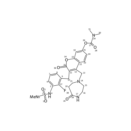 CNS(=O)(=O)Nc1cccc(Cc2c(CN3CCNC(=O)CC3)c3ccc(OC(=O)N(C)C)cc3oc2=O)c1F